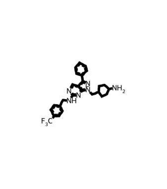 NC1CCC(Cn2nc(-c3ccccc3)c3cnc(NCc4ccc(C(F)(F)F)cc4)nc32)CC1